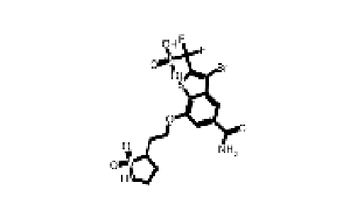 NC(=O)c1cc(OCC[C@H]2CCNS2(=O)=O)c2sc(C(F)(F)P(=O)(O)O)c(Br)c2c1